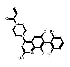 C=CC(=O)N1CCN(c2nc(N)nc3c(F)c(-c4c(O)cccc4F)c(Cl)cc23)CC1